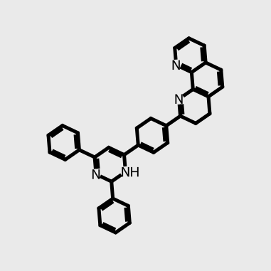 C1=C(C2=CC(c3ccccc3)=NC(c3ccccc3)N2)CCC(C2=Nc3c(ccc4cccnc34)CC2)=C1